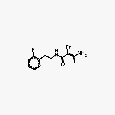 CC/C(C(=O)NCCc1ccccc1F)=C(/C)N